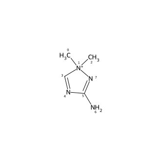 C[N+]1(C)C=NC(N)=N1